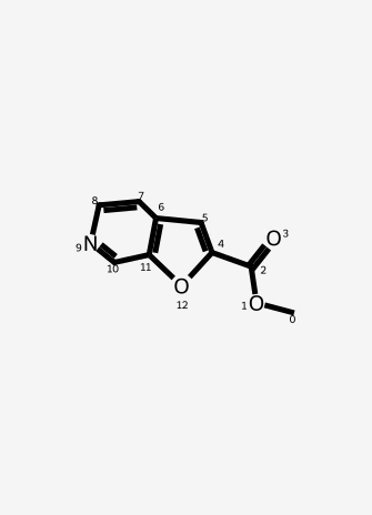 COC(=O)c1cc2ccncc2o1